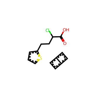 O=C(O)C(Cl)CCc1cccs1.c1cc2ccc1-2